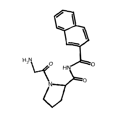 NCC(=O)N1CCCC1C(=O)NC(=O)c1ccc2ccccc2c1